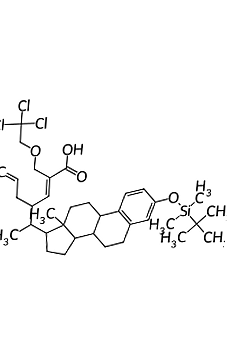 C=CCC(C=C(COCC(Cl)(Cl)Cl)C(=O)O)C(C)C1CCC2C3CCc4cc(O[Si](C)(C)C(C)(C)C)ccc4C3CCC12C